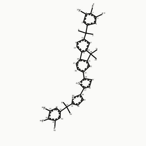 CC(C)(c1cc(F)c(F)c(F)c1)c1ccc2c(c1)C(C)(C)c1cc(-c3ccc(-c4ccc(C(C)(C)c5cc(F)c(F)c(F)c5)s4)s3)ccc1-2